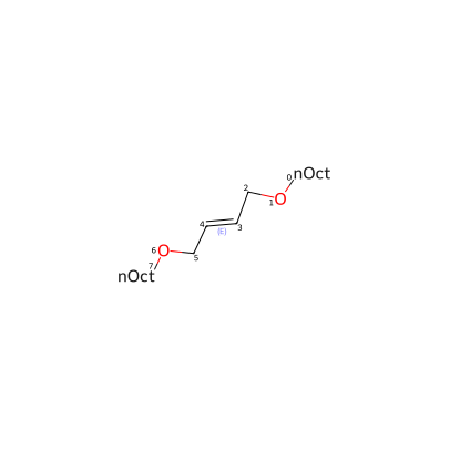 CCCCCCCCOC/C=C/COCCCCCCCC